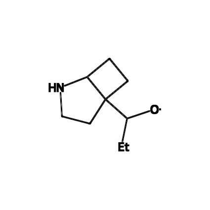 CCC([O])C12CCNC1CC2